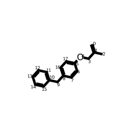 C=C(C)COc1ccc(Cc2ccccc2)cc1